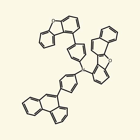 c1ccc2c(c1)cc(-c1ccc(N(c3ccc(-c4cccc5oc6ccccc6c45)cc3)c3cccc4oc5c6ccccc6ccc5c34)cc1)c1ccccc12